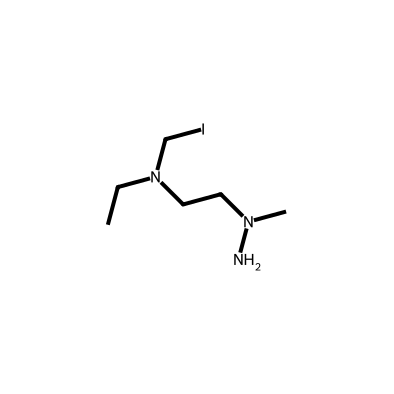 CCN(CI)CCN(C)N